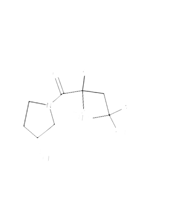 CC(=O)C(C)(C)CC(C)(C)C(=O)N1CC[C@@H](O)C1